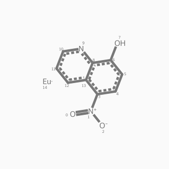 O=[N+]([O-])c1ccc(O)c2ncccc12.[Eu]